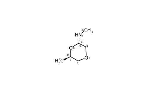 CN[C@@H]1COC[C@@H](C)O1